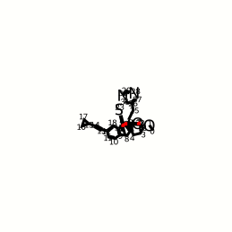 COC1CCC2(CC1)Cc1ccc(C#CC3CC3)cc1C21NC(=S)N(Cc2cncnc2)C1=O